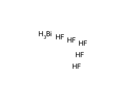 F.F.F.F.F.[BiH3]